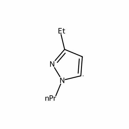 CCCn1[c]cc(CC)n1